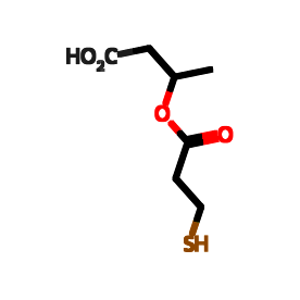 CC(CC(=O)O)OC(=O)CCS